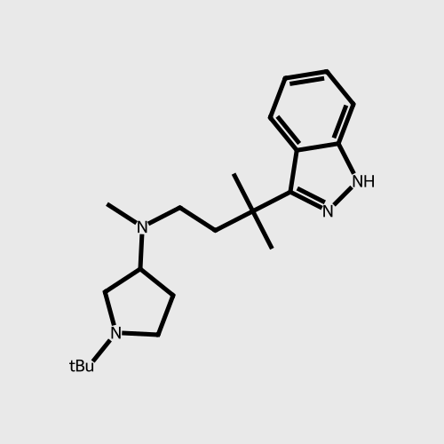 CN(CCC(C)(C)c1n[nH]c2ccccc12)C1CCN(C(C)(C)C)C1